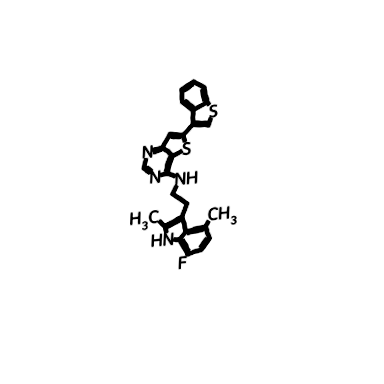 Cc1[nH]c2c(F)ccc(C)c2c1CCNc1ncnc2cc(-c3csc4ccccc34)sc12